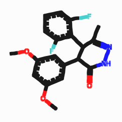 COc1cc(OC)cc(C2C(=O)NN=C(C)C2c2c(F)cccc2F)c1